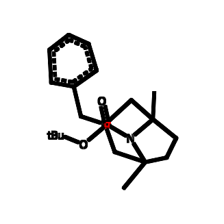 CC(C)(C)OC(=O)N1C2(C)CCC1(C)CN(Cc1ccccc1)C2